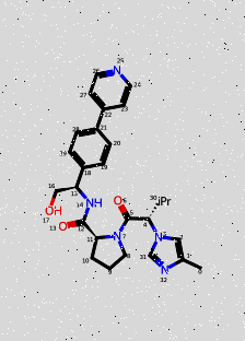 Cc1cn([C@H](C(=O)N2CCC[C@H]2C(=O)N[C@@H](CO)c2ccc(-c3ccncc3)cc2)C(C)C)cn1